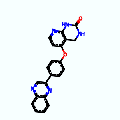 O=C1NCc2c(Oc3ccc(-c4cnc5ccccc5n4)cc3)ccnc2N1